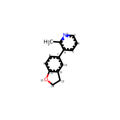 Cc1ncccc1-c1ccc2c(c1)CCO2